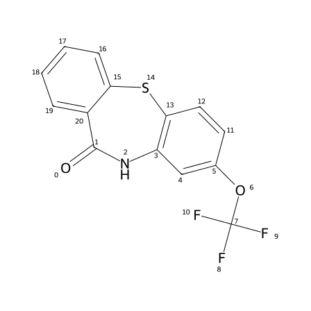 O=C1Nc2cc(OC(F)(F)F)ccc2Sc2ccccc21